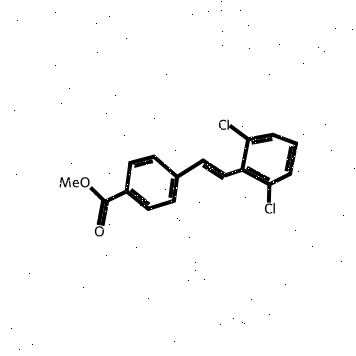 COC(=O)c1ccc(/C=C/c2c(Cl)cccc2Cl)cc1